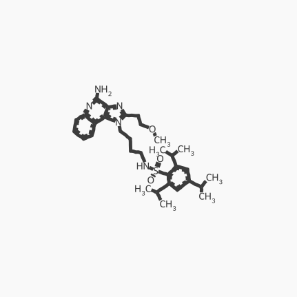 COCCc1nc2c(N)nc3ccccc3c2n1CCCCNS(=O)(=O)c1c(C(C)C)cc(C(C)C)cc1C(C)C